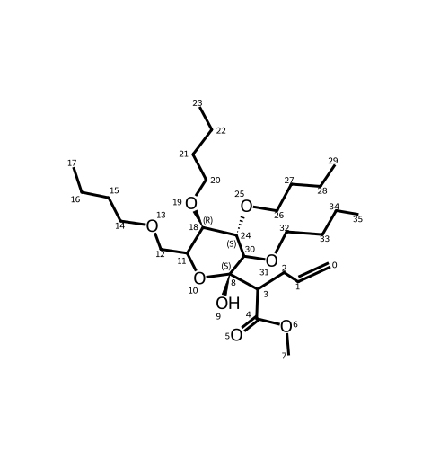 C=CCC(C(=O)OC)[C@]1(O)OC(COCCCC)[C@@H](OCCCC)[C@H](OCCCC)C1OCCCC